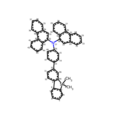 C[Si]1(C)c2ccccc2-c2ccc(-c3ccc(N(c4cc5ccccc5c5ccccc45)c4cc5ccccc5c5ccccc45)cc3)cc21